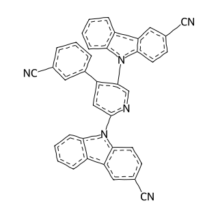 N#Cc1cccc(-c2cc(-n3c4ccccc4c4cc(C#N)ccc43)ncc2-n2c3ccccc3c3cc(C#N)ccc32)c1